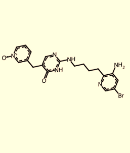 Nc1cc(Br)cnc1CCCCNc1ncc(Cc2ccc[n+]([O-])c2)c(=O)[nH]1